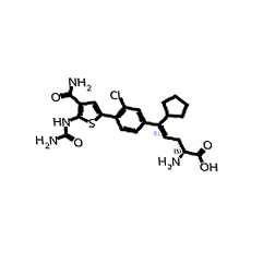 NC(=O)Nc1sc(-c2ccc(/C(=C/C[C@H](N)C(=O)O)C3CCCC3)cc2Cl)cc1C(N)=O